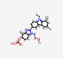 CCn1c2ccc(-c3nc4c(C)c(OC(=O)O)ccc4n3CCOC)cc2c2cc(C)cc(Cl)c21